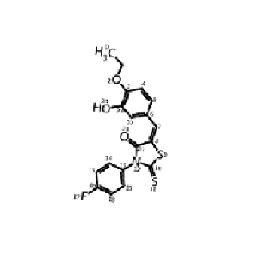 CCOc1ccc(C=C2SC(=S)N(c3ccc(F)cc3)C2=O)cc1O